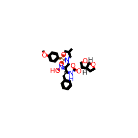 COc1ccc(S(=O)(=O)N(C/C(=N/O)[C@H](Cc2ccccc2)NC(=O)O[C@H]2CO[C@H]3OCC[C@H]32)CC(C)C)cc1